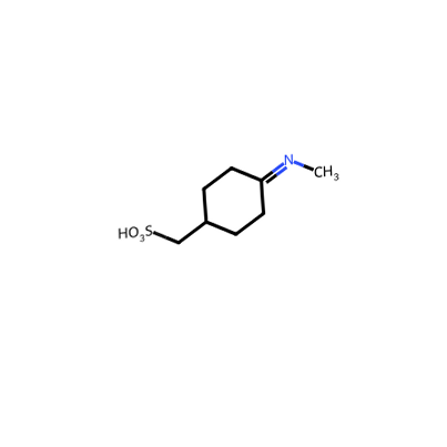 CN=C1CCC(CS(=O)(=O)O)CC1